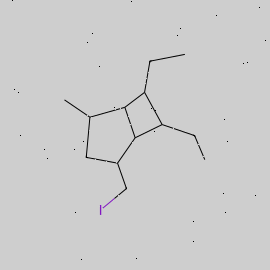 CCC1C(CC)C2C(CI)CC(C)C12